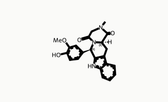 COc1cc([C@@H]2c3[nH]c4ccccc4c3C[C@@H]3C(=O)N(C)CC(=O)N23)ccc1O